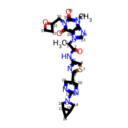 C[C@@H](C(=O)Nc1csc(-c2cnc(N3CC4CC4C3)nc2)n1)n1cnc2c1c(=O)n(CC1CCO1)c(=O)n2C